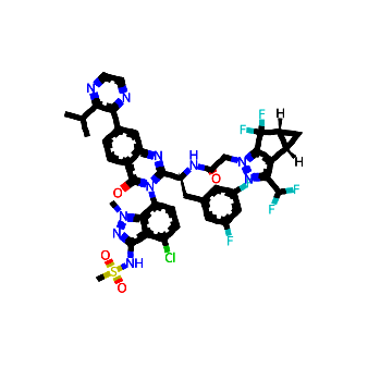 CC(C)c1nccnc1-c1ccc2c(=O)n(-c3ccc(Cl)c4c(NS(C)(=O)=O)nn(C)c34)c([C@H](Cc3cc(F)cc(F)c3)NC(=O)Cn3nc(C(F)F)c4c3C(F)(F)[C@@H]3C[C@H]43)nc2c1